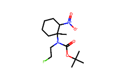 CC(C)(C)OC(=O)N(CCF)C1(C)CCCCC1[N+](=O)[O-]